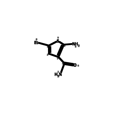 CCc1cc(C(N)=O)c(N)s1